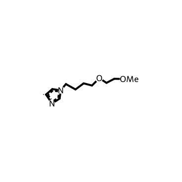 COCCOCCCCn1c[c]nc1